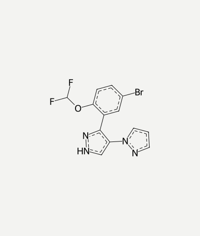 FC(F)Oc1ccc(Br)cc1-c1n[nH]cc1-n1cccn1